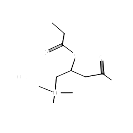 CCC(=O)OC(CC(=O)[O-])C[N+](C)(C)C.Cl